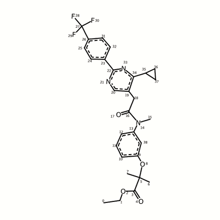 CCOC(=O)C(C)(C)Oc1cccc(N(C)C(=O)Cc2cnc(-c3ccc(C(F)(F)F)cc3)nc2C2CC2)c1